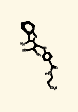 CCCC(CCC)C(Nc1ccc(C(=O)NCCC(=O)O)cc1)C1Sc2ccccc2C1C